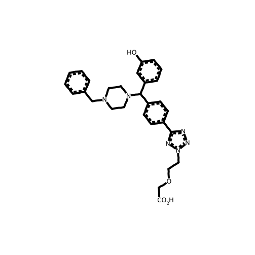 O=C(O)COCCn1nnc(-c2ccc(C(c3cccc(O)c3)N3CCN(Cc4ccccc4)CC3)cc2)n1